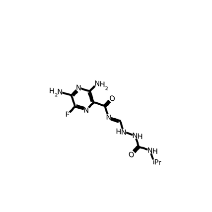 CC(C)NC(=O)NNC=NC(=O)c1nc(F)c(N)nc1N